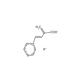 C=C(C=Cc1ccccc1)C(=O)[O-].[K+]